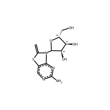 C=C1Sc2cnc(N)nc2N1C1O[C@H](CO)[C@@H](O)[C@H]1O